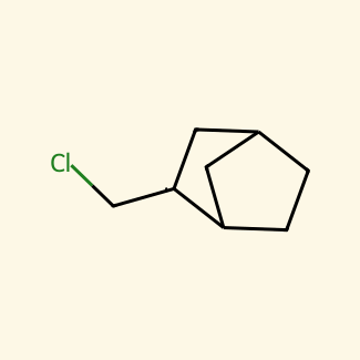 ClC[C]1CC2CCC1C2